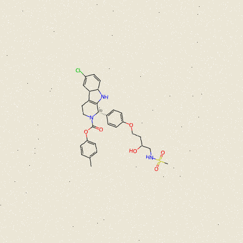 Cc1ccc(OC(=O)N2CCC3=C(NC4C=CC(Cl)=CC34)[C@@H]2c2ccc(OCCC(O)CNS(C)(=O)=O)cc2)cc1